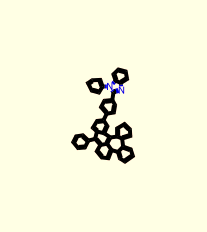 c1ccc(-c2c3ccc(-c4ccc(-c5nc6ccccc6n5-c5ccccc5)cc4)cc3c3c4c(cccc24)-c2ccccc2-c2ccccc2-3)cc1